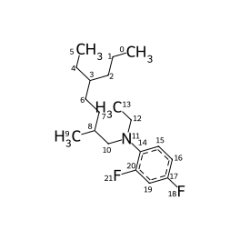 CCCC(CC)CCC(C)CN(CC)c1ccc(F)cc1F